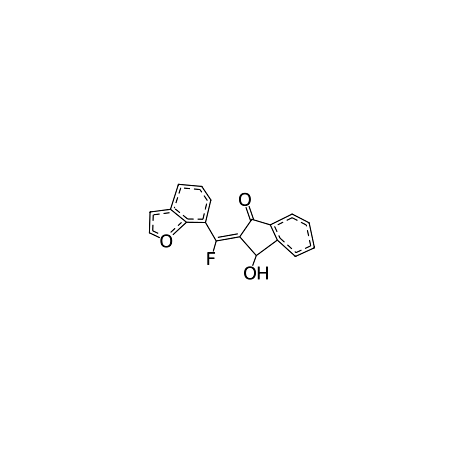 O=C1C(=C(F)c2cccc3ccoc23)C(O)c2ccccc21